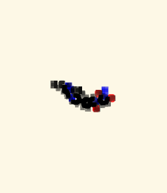 Cc1cc(CN2CCC(c3ccc4c(c3)CN(C3CCC(=O)NC3=O)C4=O)CC2)n(C)n1